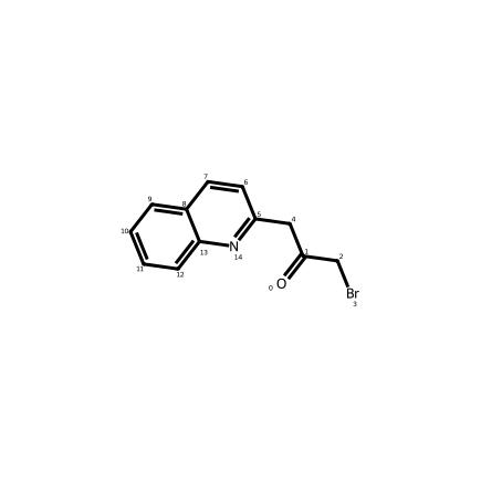 O=C(CBr)Cc1ccc2ccccc2n1